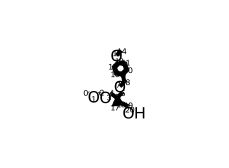 COCOCC1(COCc2ccc(OC)cc2)CC1CO